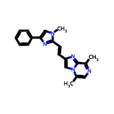 Cc1ncc(C)n2cc(C=Cc3nc(-c4ccccc4)cn3C)nc12